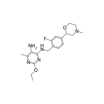 CCOc1nc(C)c(N)c(NCc2ccc(C3CN(C)CCO3)cc2F)n1